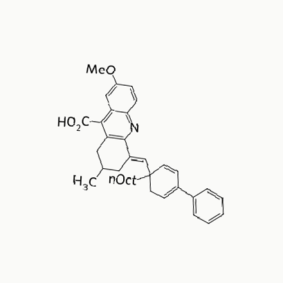 CCCCCCCCC1(/C=C2\CC(C)Cc3c2nc2ccc(OC)cc2c3C(=O)O)C=CC(c2ccccc2)=CC1